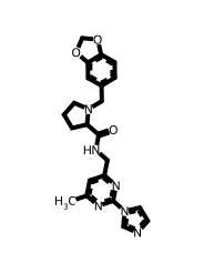 Cc1cc(CNC(=O)C2CCCN2Cc2ccc3c(c2)OCO3)nc(-n2ccnc2)n1